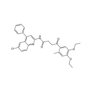 CCOc1cc(C)c(C(=O)CCC(=O)Nc2cc(-c3ccccc3)c3cc(Cl)ccc3n2)cc1OCC